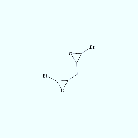 CCC1OC1CC1OC1CC